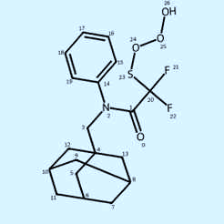 O=C(N(CC12CC3CC(CC(C3)C1)C2)c1ccccc1)C(F)(F)SOOO